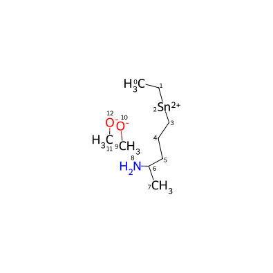 C[CH2][Sn+2][CH2]CCC(C)N.C[O-].C[O-]